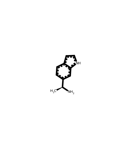 C[C@H](N)c1ccc2cc[nH]c2c1